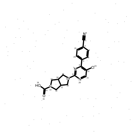 N#Cc1ccc(-c2nc(N3CC4CN(C(=O)O)CC4C3)ncc2Cl)cc1